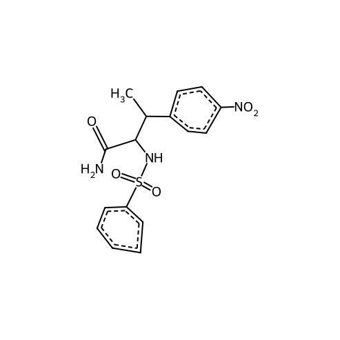 CC(c1ccc([N+](=O)[O-])cc1)C(NS(=O)(=O)c1ccccc1)C(N)=O